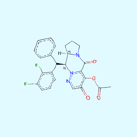 CC(=O)Oc1c2n(ncc1=O)[C@@H](C(c1ccccc1)c1cccc(F)c1F)[C@H]1CCCN1C2=O